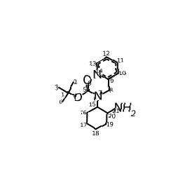 CC(C)(C)OC(=O)N(Cc1ccccn1)C1CCCCC1N